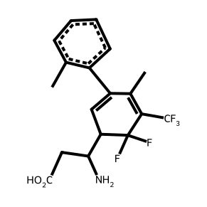 CC1=C(C(F)(F)F)C(F)(F)C(C(N)CC(=O)O)C=C1c1ccccc1C